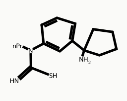 CCCN(C(=N)S)c1cccc(C2(N)CCCC2)c1